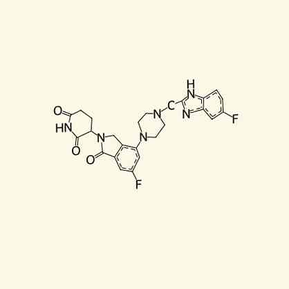 O=C1CCC(N2Cc3c(cc(F)cc3N3CCN(Cc4nc5cc(F)ccc5[nH]4)CC3)C2=O)C(=O)N1